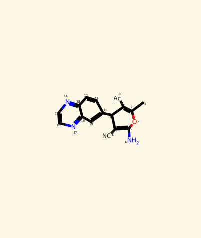 CC(=O)C1=C(C)OC(N)=C(C#N)C1c1ccc2nccnc2c1